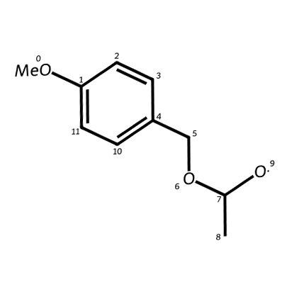 COc1ccc(COC(C)[O])cc1